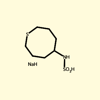 O=S(=O)(O)NC1CCCSCCC1.[NaH]